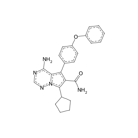 NC(=O)c1c(-c2ccc(Oc3ccccc3)cc2)c2c(N)ncnn2c1C1CCCC1